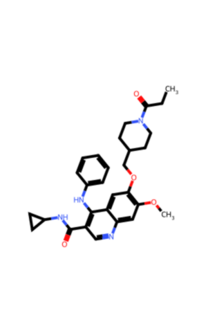 CCC(=O)N1CCC(COc2cc3c(Nc4ccccc4)c(C(=O)NC4CC4)cnc3cc2OC)CC1